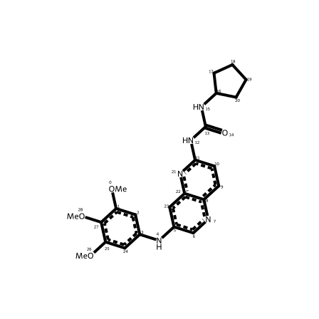 COc1cc(Nc2cnc3ccc(NC(=O)NC4CCCC4)nc3c2)cc(OC)c1OC